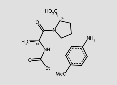 CCC(=O)N[C@@H](C)C(=O)N1CCC[C@H]1C(=O)O.COc1ccc(N)cc1